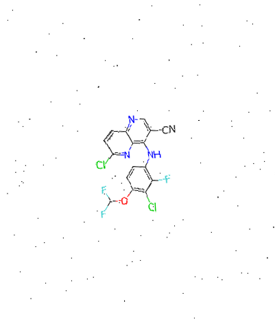 N#Cc1cnc2ccc(Cl)nc2c1Nc1ccc(OC(F)F)c(Cl)c1F